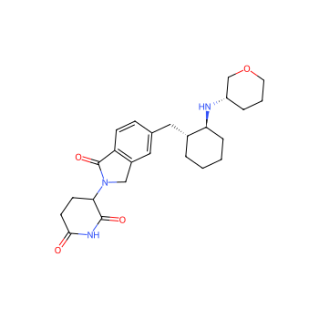 O=C1CCC(N2Cc3cc(C[C@H]4CCCC[C@@H]4N[C@H]4CCCOC4)ccc3C2=O)C(=O)N1